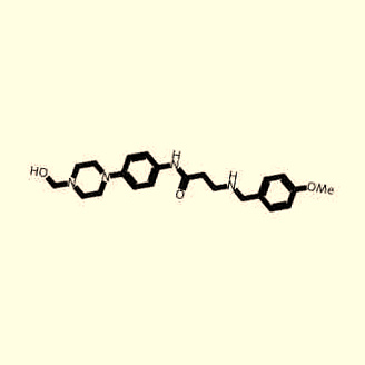 COc1ccc(CNCCC(=O)Nc2ccc(N3CCN(CO)CC3)cc2)cc1